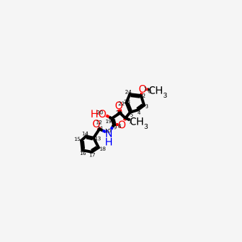 COc1ccc(C2(C)OC(NC(=O)c3ccccc3)=C(O)C2=O)cc1